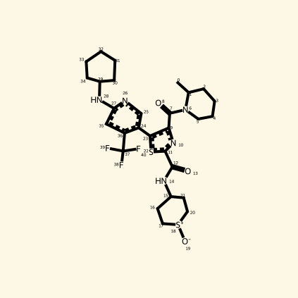 CC1CCCCN1C(=O)c1nc(C(=O)NC2CC[S+]([O-])CC2)sc1-c1cnc(NC2CCCCC2)cc1C(F)(F)F